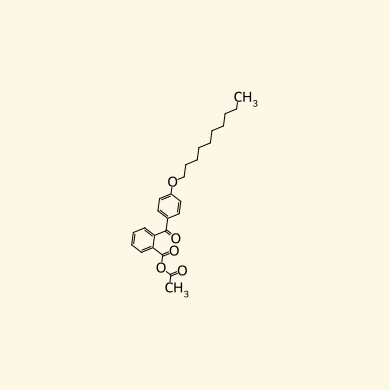 CCCCCCCCCCOc1ccc(C(=O)c2ccccc2C(=O)OC(C)=O)cc1